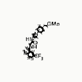 COCC[C@H]1CC[C@H](N2CC(NC(=O)CNc3ncnc4ccc(C(F)(F)F)cc34)C2)CC1